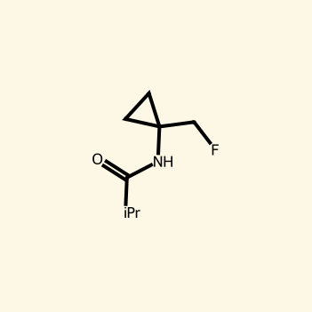 CC(C)C(=O)NC1(CF)CC1